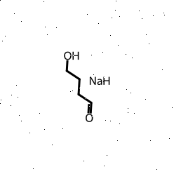 O=CCCCO.[NaH]